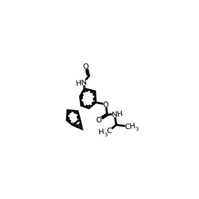 CC(C)NC(=O)Oc1cccc(NC=O)c1.c1cc2cc-2c1